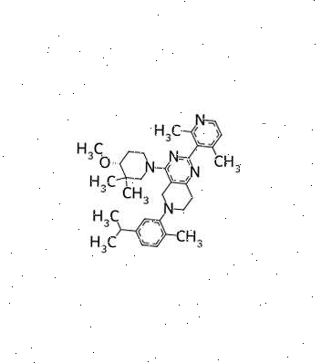 CO[C@@H]1CCN(c2nc(-c3c(C)ccnc3C)nc3c2CN(c2cc(C(C)C)ccc2C)CC3)CC1(C)C